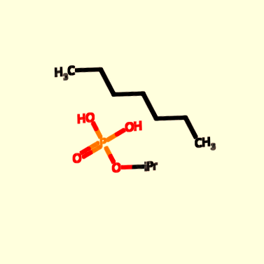 CC(C)OP(=O)(O)O.CCCCCCC